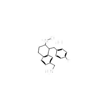 CCNC1CCc2ccc(CN)cc2C1Cc1ccc(F)cc1.Cl